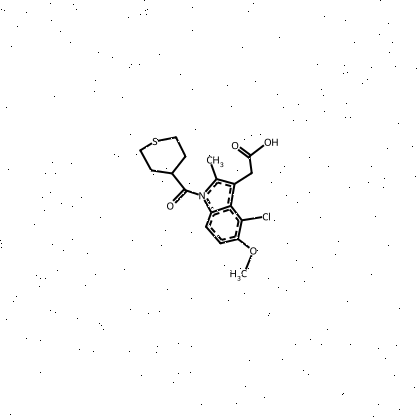 COc1ccc2c(c1Cl)c(CC(=O)O)c(C)n2C(=O)C1CCSCC1